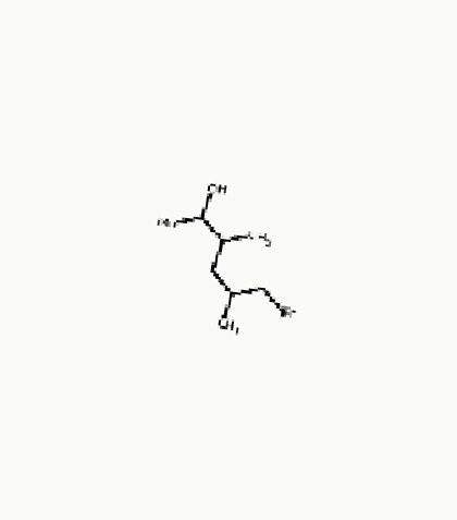 CCC(C)C(O)C(C)CC(C)CC(C)C